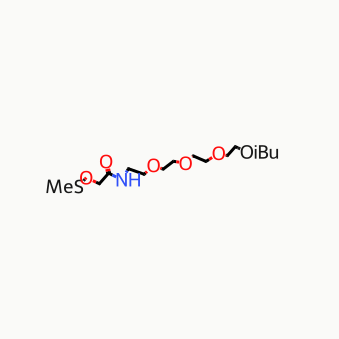 CSOCC(=O)NCCOCCOCCOCCOCC(C)C